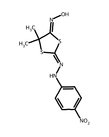 CC1(C)SC(=NNc2ccc([N+](=O)[O-])cc2)SC1=NO